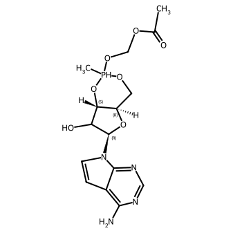 CC(=O)OCO[PH]1(C)OC[C@H]2O[C@@H](n3ccc4c(N)ncnc43)C(O)[C@@H]2O1